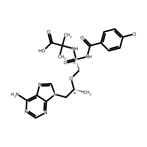 C[C@H](Cn1cnc2c(N)ncnc21)OC[P@@](=O)(NC(=O)c1ccc(Cl)cc1)NC(C)(C)C(=O)O